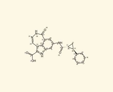 O=C(O)c1[nH]c2cc(NC(=O)[C@@H]3C[C@H]3c3ccccc3)cc3c2c1C=NNC3=O